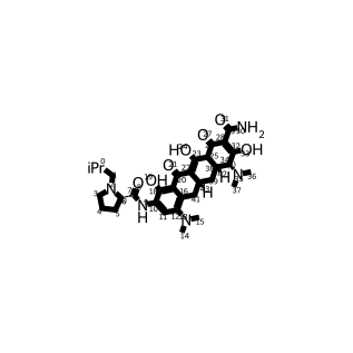 CC(C)CN1CCC[C@H]1C(=O)Nc1cc(N(C)C)c2c(c1O)C(=O)C1=C(O)C3C(=O)C(C(N)=O)=C(O)[C@@H](N(C)C)[C@@H]3C[C@@H]1C2